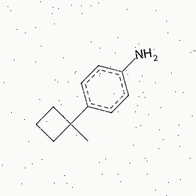 CC1(c2ccc(N)cc2)CCC1